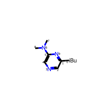 CCC(C)c1cncc(N(C)C)n1